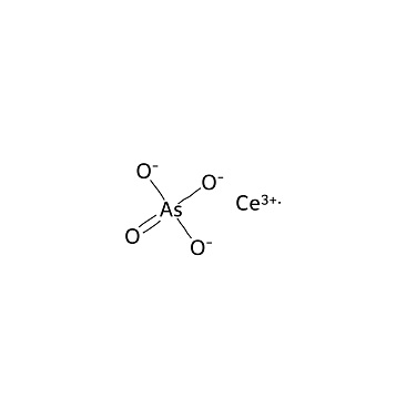 O=[As]([O-])([O-])[O-].[Ce+3]